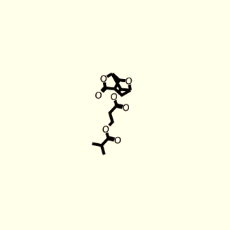 CC(C)C(=O)OCCC(=O)OC1C2CC3C(=O)OC1C3O2